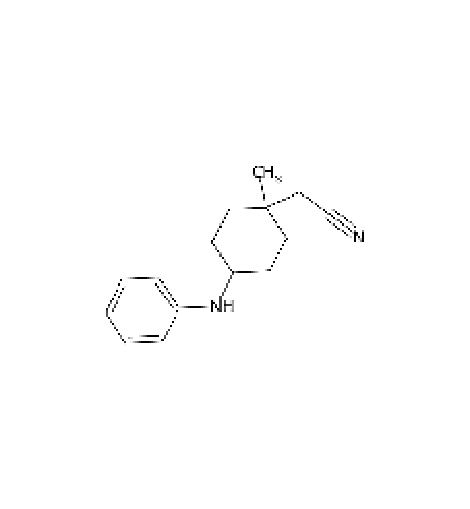 CC1(CC#N)CCC(Nc2ccccc2)CC1